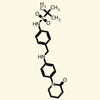 CC(C)(C)S(=O)(=O)Nc1ccc(CNc2ccc(N3CCCCC3=O)cc2)cc1